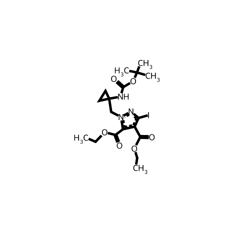 CCOC(=O)c1c(I)nn(CC2(NC(=O)OC(C)(C)C)CC2)c1C(=O)OCC